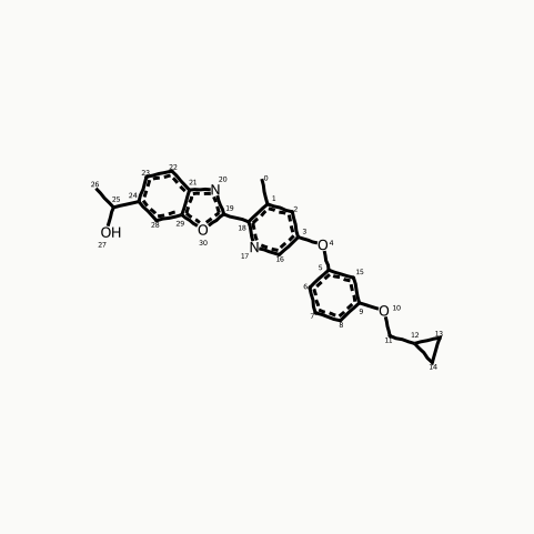 Cc1cc(Oc2cccc(OCC3CC3)c2)cnc1-c1nc2ccc(C(C)O)cc2o1